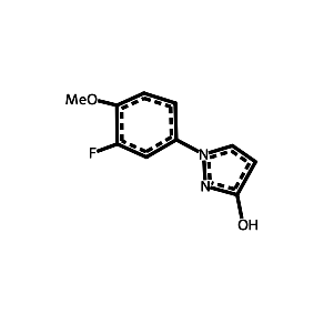 COc1ccc(-n2ccc(O)n2)cc1F